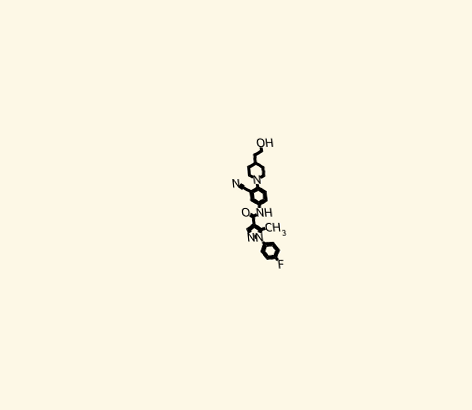 Cc1c(C(=O)Nc2ccc(N3CCC(CCO)CC3)c(C#N)c2)cnn1-c1ccc(F)cc1